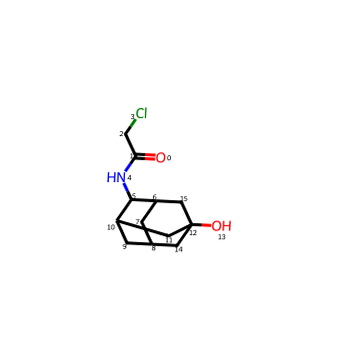 O=C(CCl)NC1C2CC3CC1CC(O)(C3)C2